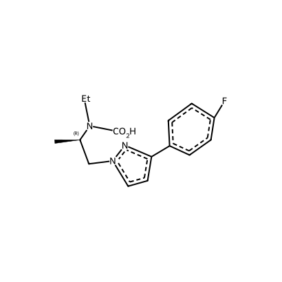 CCN(C(=O)O)[C@H](C)Cn1ccc(-c2ccc(F)cc2)n1